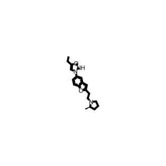 CCC1=CN(c2ccc3oc(CCN4CCC[C@H]4C)cc3c2)NO1